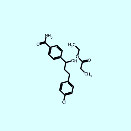 CCOC(=O)CC.NC(=O)c1ccc(C(O)CCc2ccc(Cl)cc2)cc1